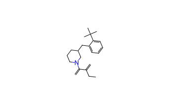 C=C(CC)C(=C)N1CCCC(Cc2ccccc2C(C)(C)C)C1